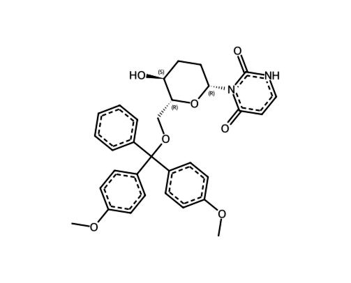 COc1ccc(C(OC[C@H]2O[C@@H](n3c(=O)cc[nH]c3=O)CC[C@@H]2O)(c2ccccc2)c2ccc(OC)cc2)cc1